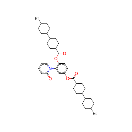 CCC1CCC(C2CCC(C(=O)Oc3ccc(OC(=O)C4CCC(C5CCC(CC)CC5)CC4)c(-n4ccccc4=O)c3)CC2)CC1